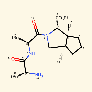 CCOC(=O)[C@@H]1[C@H]2CCC[C@H]2CN1C(=O)[C@@H](NC(=O)[C@@H](N)C(C)(C)C)C(C)(C)C